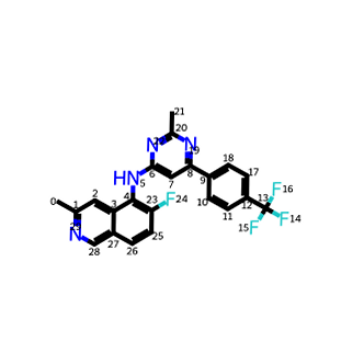 Cc1cc2c(Nc3cc(-c4ccc(C(F)(F)F)cc4)nc(C)n3)c(F)ccc2cn1